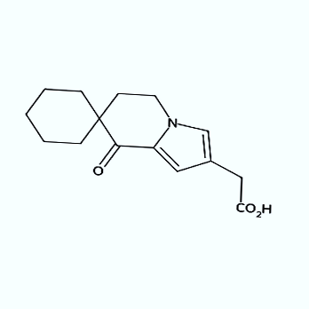 O=C(O)Cc1cc2n(c1)CCC1(CCCCC1)C2=O